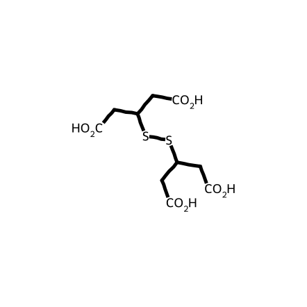 O=C(O)CC(CC(=O)O)SSC(CC(=O)O)CC(=O)O